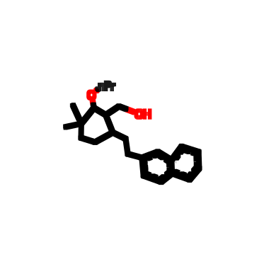 CCCOC1C(CO)C(CCc2ccc3ccccc3c2)CCC1(C)C